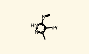 C=Nc1[nH]nc(C)c1C(C)C